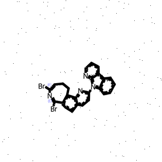 BrC1=C/CCc2c(ccc3ccc(-n4c5ccccc5c5cccnc54)nc23)/C(Br)=N\1